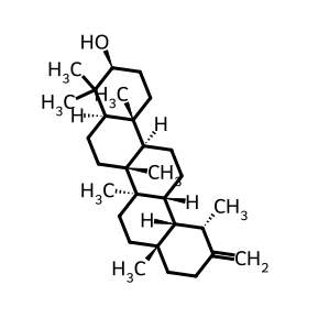 C=C1CC[C@]2(C)CC[C@]3(C)[C@H](CC[C@@H]4[C@@]5(C)CC[C@H](O)C(C)(C)[C@@H]5CC[C@]43C)[C@@H]2[C@@H]1C